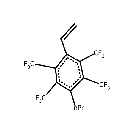 C=Cc1c(C(F)(F)F)c(C(F)(F)F)c(CCC)c(C(F)(F)F)c1C(F)(F)F